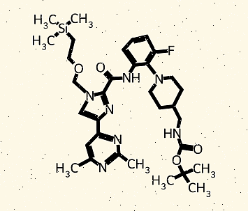 Cc1cc(-c2cn(COCC[Si](C)(C)C)c(C(=O)Nc3cccc(F)c3N3CCC(CNC(=O)OC(C)(C)C)CC3)n2)nc(C)n1